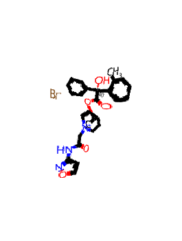 Cc1ccccc1[C@@](O)(C(=O)OC1C[N+]2(CC(=O)Nc3ccon3)CCC1CC2)c1ccccc1.[Br-]